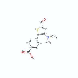 CN(C)c1cc(C=O)sc1-c1ccc(C(=O)O)cc1